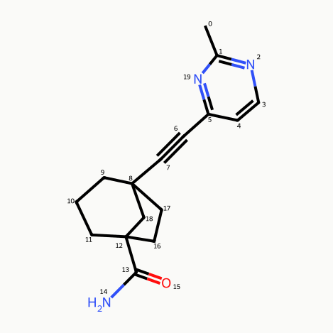 Cc1nccc(C#CC23CCCC(C(N)=O)(CC2)C3)n1